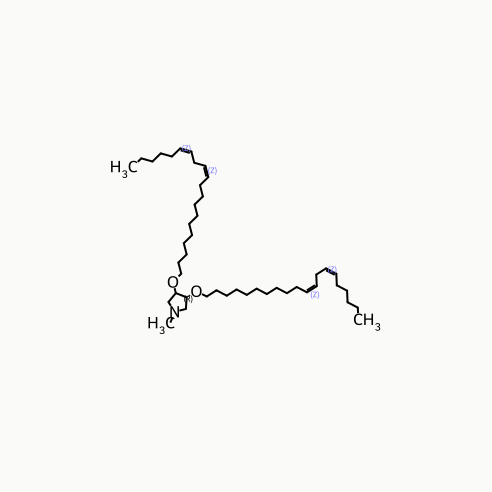 CCCCC/C=C\C/C=C\CCCCCCCCCCOC1CN(C)C[C@H]1OCCCCCCCCCC/C=C\C/C=C\CCCCC